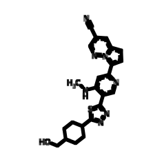 CNc1cc(-c2ccc3cc(C#N)cnn23)ncc1-c1nnc(C2CCC(CO)CC2)s1